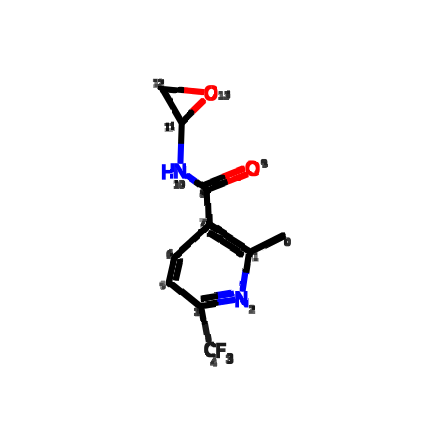 Cc1nc(C(F)(F)F)ccc1C(=O)NC1CO1